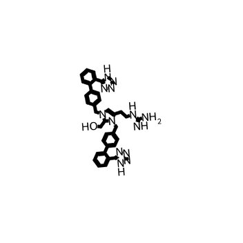 N=C(N)NCCC1=CN(Cc2ccc(-c3ccccc3-c3nnn[nH]3)cc2)C(CO)N1Cc1ccc(-c2ccccc2-c2nnn[nH]2)cc1